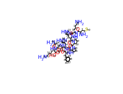 CSCC[C@H](N)C(=O)N[C@@H](CCCCN)C(=O)N[C@@H](Cc1c[nH]cn1)C(=O)N1CCC[C@H]1C(=O)N1CCC[C@H]1C(=O)N[C@@H](Cc1ccccc1)C(=O)N[C@@H](Cc1c[nH]cn1)C(=O)N[C@@H](CC(N)=O)C(=O)N[C@@H](CCCCN)C(=O)O